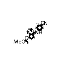 COC(C)OC1CCc2c(Nc3ccc(C#N)cc3)ncnc21